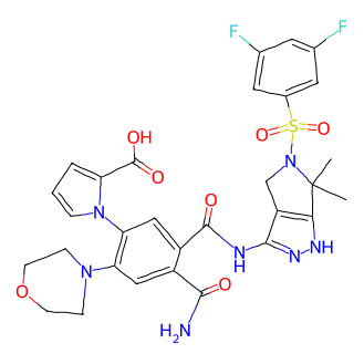 CC1(C)c2[nH]nc(NC(=O)c3cc(-n4cccc4C(=O)O)c(N4CCOCC4)cc3C(N)=O)c2CN1S(=O)(=O)c1cc(F)cc(F)c1